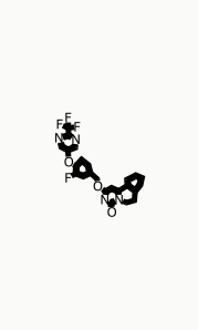 O=c1nc(OCc2ccc(Oc3cnc(C(F)(F)F)nc3)c(F)c2)cc2n1CCc1ccccc1-2